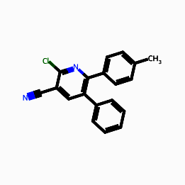 Cc1ccc(-c2nc(Cl)c(C#N)cc2-c2ccccc2)cc1